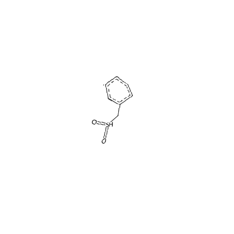 O=[SH](=O)Cc1c[c]ccc1